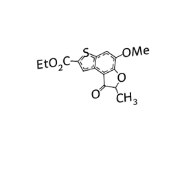 CCOC(=O)c1cc2c3c(c(OC)cc2s1)OC(C)C3=O